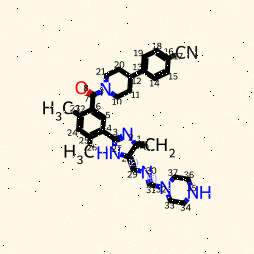 C=c1nc(-c2cc(C(=O)N3CCC(c4ccc(C#N)cc4)CC3)c(C)cc2C)[nH]/c1=C/N=C/N1CCNCC1